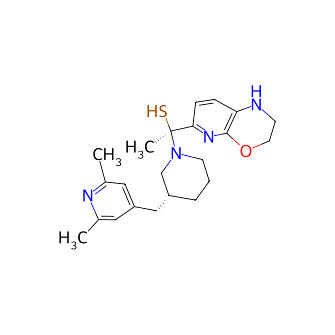 Cc1cc(C[C@H]2CCCN([C@@](C)(S)c3ccc4c(n3)OCCN4)C2)cc(C)n1